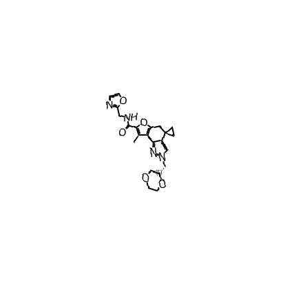 Cc1c(C(=O)NCc2ncco2)oc2c1-c1nn(C[C@H]3COCCO3)cc1C1(CC1)C2